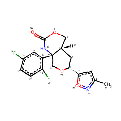 Cc1cc([C@H]2C[C@H]3COC(=O)N[C@@]3(c3cc(F)ccc3F)CO2)on1